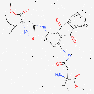 COC(=O)[C@@](N)(CC(=O)Nc1ccc(NC(=O)C[C@](N)(C(=O)OC)C(C)C)c2c1C(=O)c1ccccc1C2=O)C(C)C